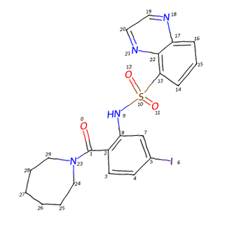 O=C(c1ccc(I)cc1NS(=O)(=O)c1cccc2nccnc12)N1CCCCCC1